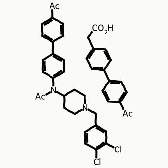 CC(=O)c1ccc(-c2ccc(CC(=O)O)cc2)cc1.CC(=O)c1ccc(-c2ccc(N(C(C)=O)C3CCN(Cc4ccc(Cl)c(Cl)c4)CC3)cc2)cc1